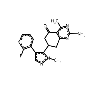 Cc1nc(N)nc2c1C(=O)CC(c1c(-c3cccnc3F)cnn1C)C2